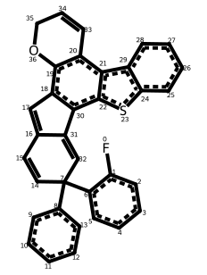 Fc1ccccc1C1(c2ccccc2)C=CC2=Cc3c4c(c5c(sc6ccccc65)c3C2=C1)C=CCO4